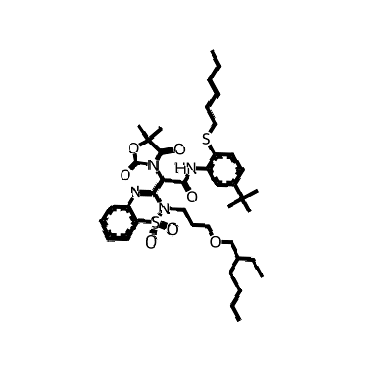 CCCCCCSc1ccc(C(C)(C)C)cc1NC(=O)C(C1=Nc2ccccc2S(=O)(=O)N1CCCOCC(CC)CCCC)N1C(=O)OC(C)(C)C1=O